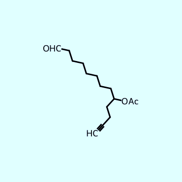 C#CCCC(CCCCCCCC=O)OC(C)=O